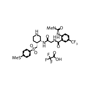 CNC(=O)Nc1ccc(C(F)(F)F)cc1C(=O)NCC(=O)N[C@H]1CNCC[C@H]1CS(=O)(=O)c1ccc(SC)cc1.O=C(O)C(F)(F)F